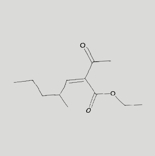 CCCC(C)C=C(C(C)=O)C(=O)OCC